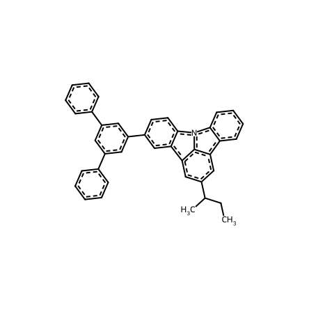 CCC(C)c1cc2c3ccccc3n3c4ccc(-c5cc(-c6ccccc6)cc(-c6ccccc6)c5)cc4c(c1)c23